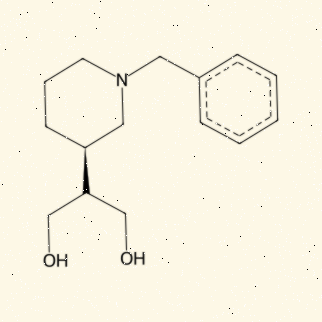 OCC(CO)[C@H]1CCCN(Cc2ccccc2)C1